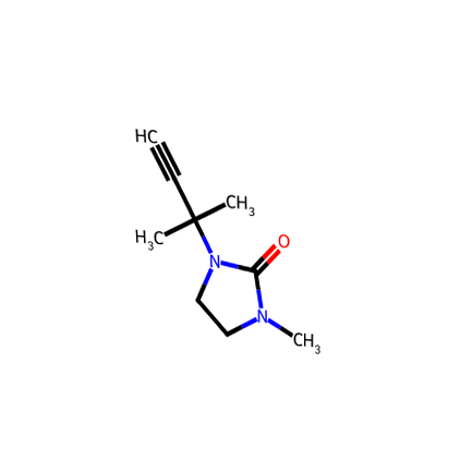 C#CC(C)(C)N1CCN(C)C1=O